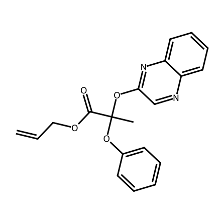 C=CCOC(=O)C(C)(Oc1ccccc1)Oc1cnc2ccccc2n1